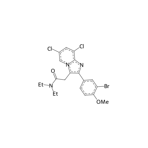 CCN(CC)C(=O)Cc1c(-c2ccc(OC)c(Br)c2)nc2c(Cl)cc(Cl)cn12